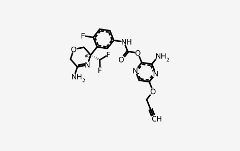 C#CCOc1cnc(OC(=O)Nc2ccc(F)c([C@]3(C(F)F)COCC(N)=N3)c2)c(N)n1